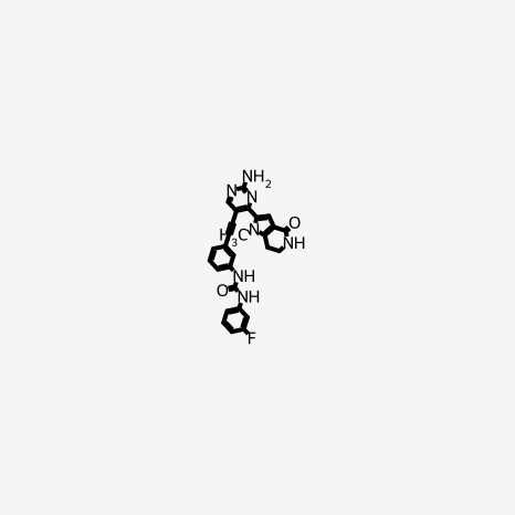 Cn1c(-c2nc(N)ncc2C#Cc2cccc(NC(=O)Nc3cccc(F)c3)c2)cc2c1CCNC2=O